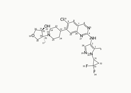 Cc1c(Nc2ncc3cc(Cl)c(C4CCN([C@@]5(C)COC[C@H]5O)CC4)cc3n2)cnn1C1CC1(F)F